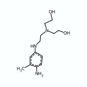 Cc1cc(NCCN(CCO)CCO)ccc1N